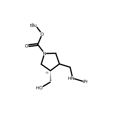 CC(C)NCC1CN(C(=O)OC(C)(C)C)C[C@H]1CO